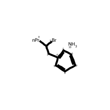 CCCC(Br)Cc1ccccc1.N